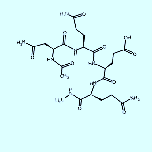 CNC(=O)[C@H](CCC(N)=O)NC(=O)[C@H](CCC(=O)O)NC(=O)[C@H](CCC(N)=O)NC(=O)[C@H](CC(N)=O)NC(C)=O